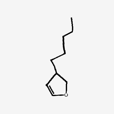 CCCCCC1C=COC1